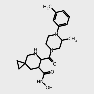 Cc1cccc(N2CCN(C(=O)C3NCC4(CC4)CC3C(=O)NO)CC2C)c1